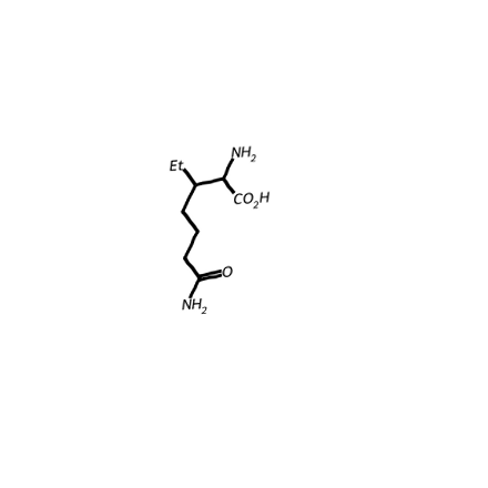 CCC(CCCC(N)=O)C(N)C(=O)O